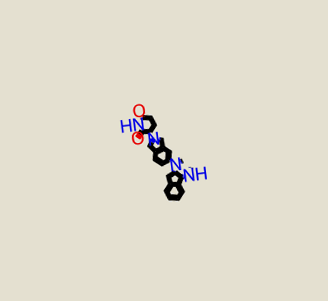 CNC1c2ccccc2CC1N(C)c1ccc2c(c1)CN(C1CCC(=O)NC1=O)C2